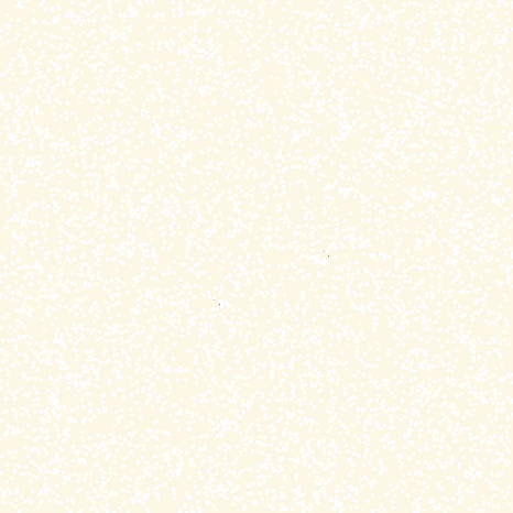 CC1Oc2c(cc(Cl)cc2S(=O)(=O)Nc2ccc(Cl)cc2)NC1=O